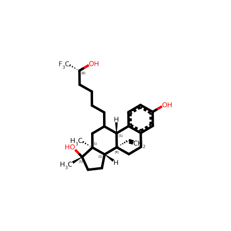 C=C[C@@]12CCc3cc(O)ccc3[C@H]1C(CCCC[C@@H](O)C(F)(F)F)C[C@@]1(C)[C@H]2CC[C@]1(C)O